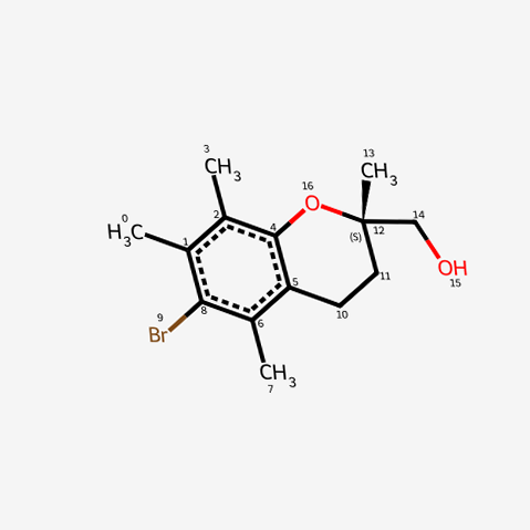 Cc1c(C)c2c(c(C)c1Br)CC[C@@](C)(CO)O2